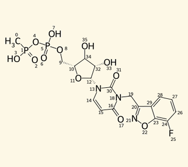 CP(=O)(O)OP(=O)(O)OC[C@H]1O[C@@H](n2ccc(=O)n(Cc3noc4c(F)cccc34)c2=O)[C@@H](O)C1O